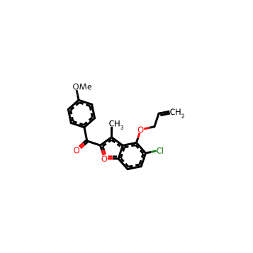 C=CCOc1c(Cl)ccc2oc(C(=O)c3ccc(OC)cc3)c(C)c12